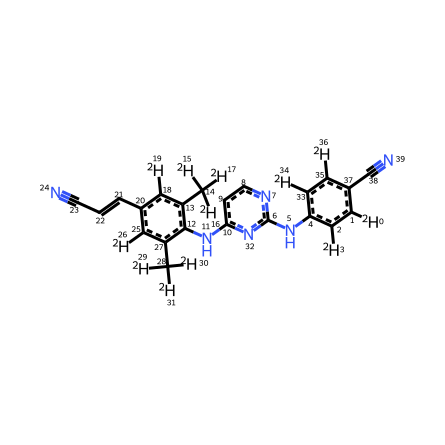 [2H]c1c([2H])c(Nc2nccc(Nc3c(C([2H])([2H])[2H])c([2H])c(/C=C/C#N)c([2H])c3C([2H])([2H])[2H])n2)c([2H])c([2H])c1C#N